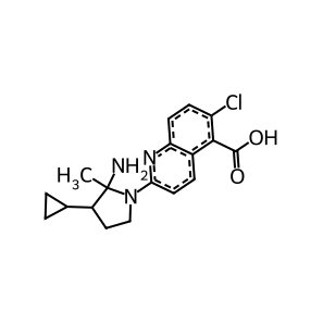 CC1(N)C(C2CC2)CCN1c1ccc2c(C(=O)O)c(Cl)ccc2n1